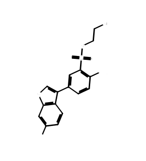 Cc1ccc(-c2c[nH]c3cc(F)ccc23)cc1S(=O)(=O)NCCN